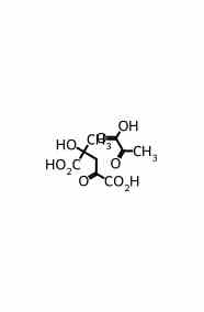 CC(=O)C(=O)O.CC(O)(CC(=O)C(=O)O)C(=O)O